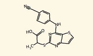 CC(Sc1nc(Nc2ccc(C#N)cc2)c2sccc2n1)C(=O)O